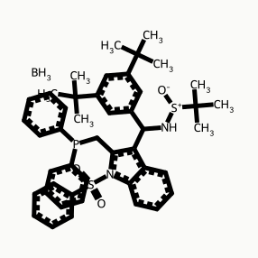 B.CC(C)(C)c1cc(C(N[S+]([O-])C(C)(C)C)c2c(CP(c3ccccc3)c3ccccc3)n(S(=O)(=O)c3ccccc3)c3ccccc23)cc(C(C)(C)C)c1